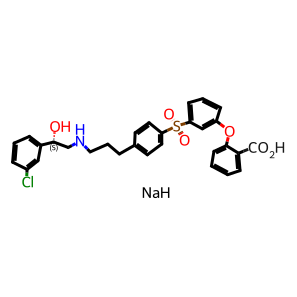 O=C(O)c1ccccc1Oc1cccc(S(=O)(=O)c2ccc(CCCNC[C@@H](O)c3cccc(Cl)c3)cc2)c1.[NaH]